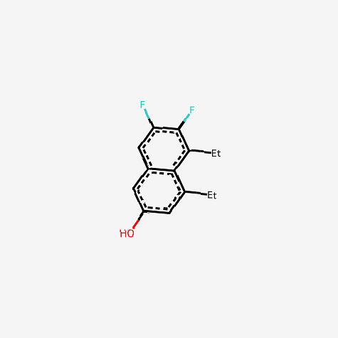 CCc1cc(O)cc2cc(F)c(F)c(CC)c12